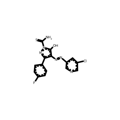 NC(=S)n1nc(-c2ccc(F)cc2)c(/N=N/c2cncc(Cl)c2)c1O